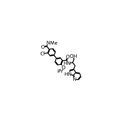 CNC(=O)c1ccc(-c2ccc(OC(C)C)c(C(=O)NC(CO)Cc3c[nH]c4ncccc34)c2)cc1Cl